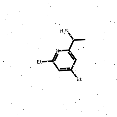 CCc1cc(CC)nc(C(C)N)c1